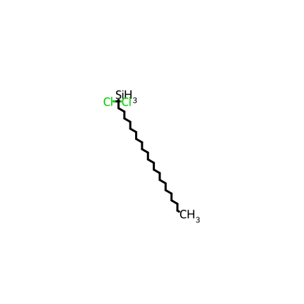 CCCCCCCCCCCCCCCCCCCCCCC([SiH3])(Cl)Cl